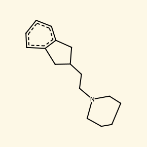 c1ccc2c(c1)CC(CCN1CCCCC1)C2